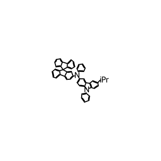 CC(C)c1ccc2c(c1)c1cc(N(c3ccccc3)c3ccc4c(c3)C3(c5ccccc5-c5ccccc53)c3ccccc3-4)ccc1n2-c1ccccc1